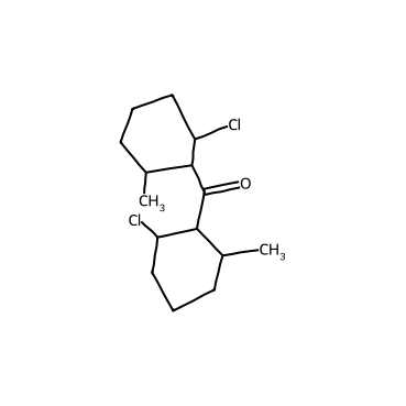 CC1CCCC(Cl)C1C(=O)C1C(C)CCCC1Cl